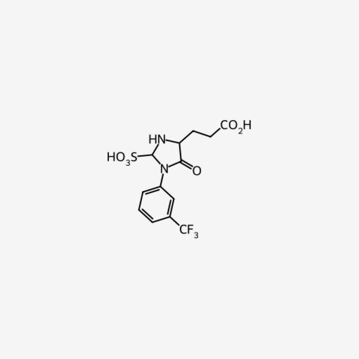 O=C(O)CCC1NC(S(=O)(=O)O)N(c2cccc(C(F)(F)F)c2)C1=O